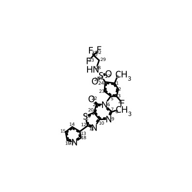 Cc1cc(F)c(-n2c(C)nc3nc(-c4cccnc4)sc3c2=O)cc1S(=O)(=O)NCC(F)(F)F